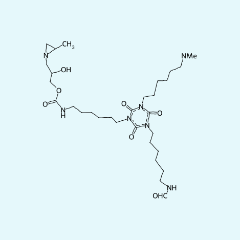 CNCCCCCCn1c(=O)n(CCCCCCNC=O)c(=O)n(CCCCCCNC(=O)OCC(O)CN2CC2C)c1=O